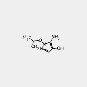 CC(C)On1ncc(O)c1N